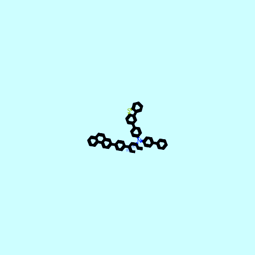 C=C/C(=C\C(=C/C)c1ccc(-c2ccc3c(ccc4ccccc43)c2)cc1)N(c1ccc(-c2ccccc2)cc1)c1ccc(-c2ccc3sc4ccccc4c3c2)cc1